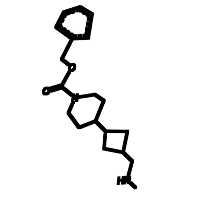 CNCC1CC(C2CCN(C(=O)OCc3ccccc3)CC2)C1